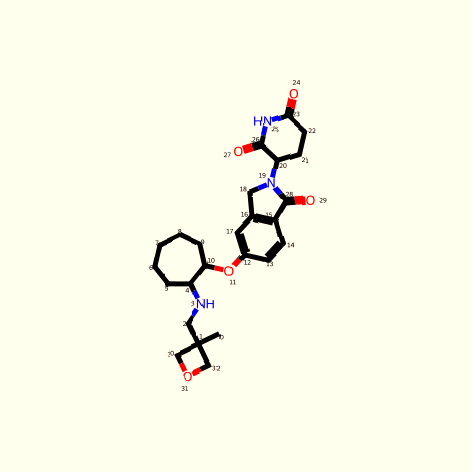 CC1(CNC2CCCCCC2Oc2ccc3c(c2)CN(C2CCC(=O)NC2=O)C3=O)COC1